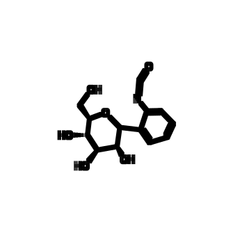 O=C=Nc1ccccc1C1O[C@H](CO)[C@@H](O)[C@H](O)[C@@H]1O